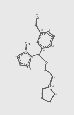 Cn1ccnc1C(OCCN1CCCC1)c1cccc(CCl)c1